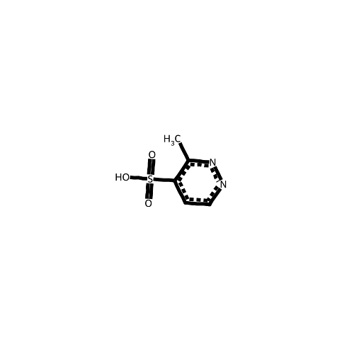 Cc1nnccc1S(=O)(=O)O